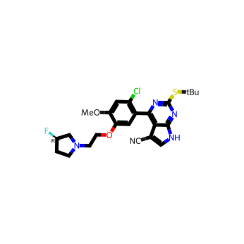 COc1cc(Cl)c(-c2nc(SC(C)(C)C)nc3[nH]cc(C#N)c23)cc1OCCN1CC[C@@H](F)C1